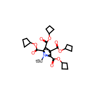 CC(C)(C)n1c(C(=O)OC2CCC2)c(C(=O)OC2CCC2)c(C(=O)OC2CCC2)c1C(=O)OC1CCC1